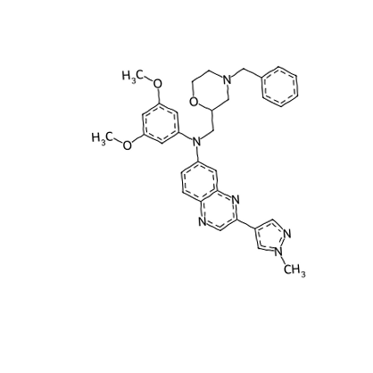 COc1cc(OC)cc(N(CC2CN(Cc3ccccc3)CCO2)c2ccc3ncc(-c4cnn(C)c4)nc3c2)c1